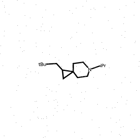 CC(C)N1CCC2(CC1)CC2CC(C)(C)C